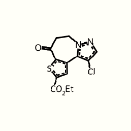 CCOC(=O)c1cc2c(s1)C(=O)CCn1ncc(Cl)c1-2